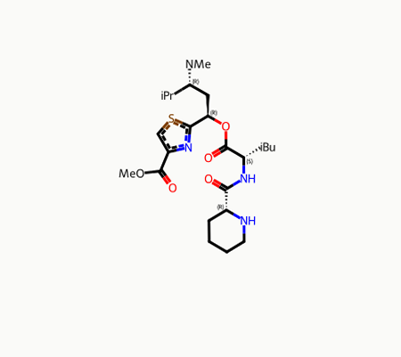 CCC(C)[C@H](NC(=O)[C@H]1CCCCN1)C(=O)O[C@H](C[C@@H](NC)C(C)C)c1nc(C(=O)OC)cs1